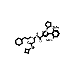 COc1cccc(OC)c1-c1cc(C(=O)N[C@@H](CCCC2CCCCC2)CC(=O)NC2CCC2)nn1C1CCCC1